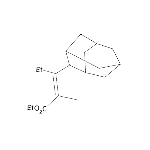 CCOC(=O)C(C)=C(CC)C1C2CC3CC(C2)CC1C3